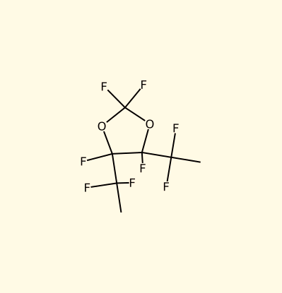 CC(F)(F)C1(F)OC(F)(F)OC1(F)C(C)(F)F